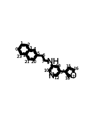 c1ccc2cc(CCNc3cncc(-c4ccoc4)c3)ccc2c1